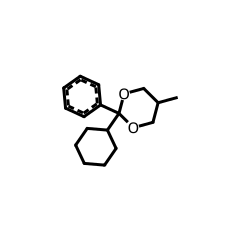 CC1COC(c2ccccc2)(C2CCCCC2)OC1